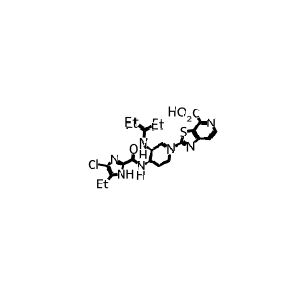 CCc1[nH]c(C(=O)N[C@@H]2CCN(c3nc4ccnc(C(=O)O)c4s3)C[C@@H]2NC(CC)CC)nc1Cl